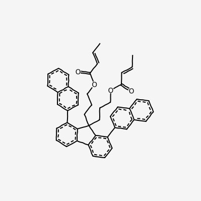 CC=CC(=O)OCCCC1(CCCOC(=O)C=CC)c2c(-c3ccc4ccccc4c3)cccc2-c2cccc(-c3ccc4ccccc4c3)c21